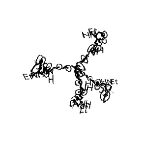 CCN[C@H]1C[C@H](C)S(=O)(=O)c2sc(S(=O)(=O)NCCOCCOCC(COCCOCCNS(=O)(=O)c3cc4c(s3)S(=O)(=O)[C@@H](C)C[C@@H]4NCC)(COCCOCCNS(=O)(=O)c3cc4c(s3)S(=O)(=O)[C@@H](C)C[C@@H]4NCC)COCCOCCNS(=O)(=O)c3cc4c(s3)S(=O)(=O)[C@@H](C)C[C@@H]4NCC)cc21